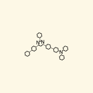 c1ccc(-c2ccc(-c3cc(-c4ccc(-c5ccc(N(c6ccccc6)c6ccccc6)cc5)cc4)nc(-c4ccccc4)n3)cc2)cc1